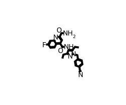 CCc1nn(Cc2ccc(C#N)cc2)c(CC)c1NC(=O)c1cc(C(N)=O)nc2cc(F)ccc12